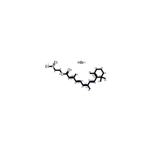 Br.CCN(CC)CCOC(=O)/C=C(C)/C=C/C=C(C)\C=C\C1=C(C)CCCC1(C)C